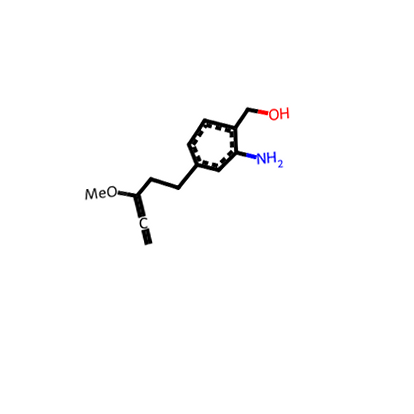 C=C=C(CCc1ccc(CO)c(N)c1)OC